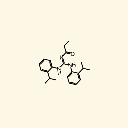 CCC(=O)N=C(Nc1ccccc1C(C)C)Nc1ccccc1C(C)C